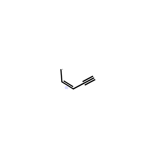 C#C/C=C\[CH2]